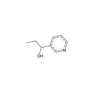 [CH2]CC(O)c1cccnc1